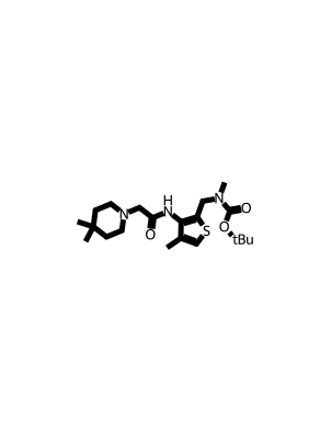 Cc1csc(CN(C)C(=O)OC(C)(C)C)c1NC(=O)CN1CCC(C)(C)CC1